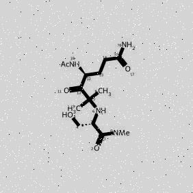 CNC(=O)[C@H](CO)NC(C)(C)C(=O)[C@H](CCC(N)=O)NC(C)=O